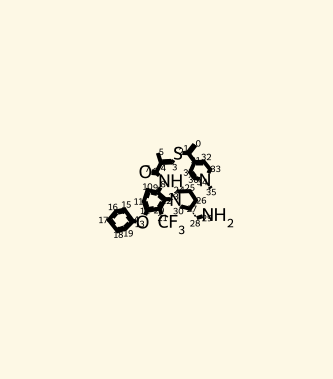 C=C(S/C=C(\C)C(=O)Nc1ccc(Oc2ccccc2)c(C(F)(F)F)c1N1CCC[C@H](CN)C1)C1=CCN(C)C=C1